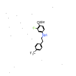 COc1ccc(NCCc2ccc(C(F)(F)F)cc2)cc1F